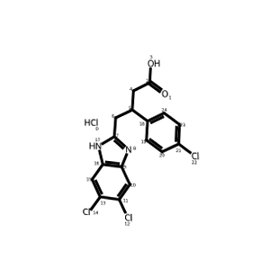 Cl.O=C(O)CC(Cc1nc2cc(Cl)c(Cl)cc2[nH]1)c1ccc(Cl)cc1